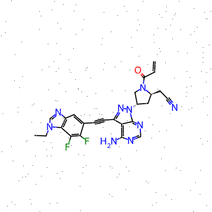 C=CC(=O)N1C[C@@H](n2nc(C#Cc3cc4ncn(CC)c4c(F)c3F)c3c(N)ncnc32)C[C@@H]1CC#N